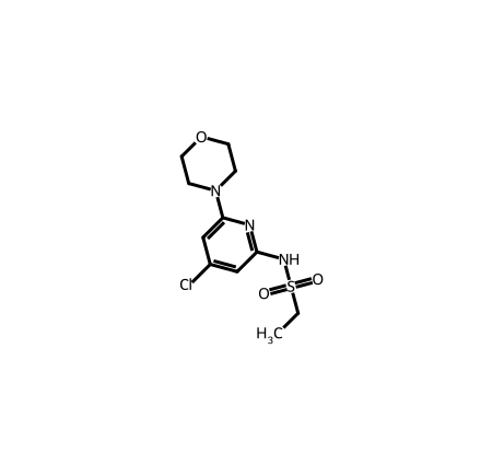 CCS(=O)(=O)Nc1cc(Cl)cc(N2CCOCC2)n1